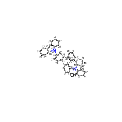 N#Cc1cccc(-c2ccccc2-c2cccc(-n3c4ccccc4c4ccccc43)c2)c1-n1c2ccccc2c2cccc(C#N)c21